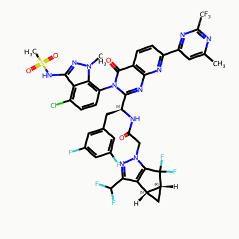 Cc1cc(-c2ccc3c(=O)n(-c4ccc(Cl)c5c(NS(C)(=O)=O)nn(C)c45)c([C@H](Cc4cc(F)cc(F)c4)NC(=O)Cn4nc(C(F)F)c5c4C(F)(F)[C@@H]4C[C@H]54)nc3n2)nc(C(F)(F)F)n1